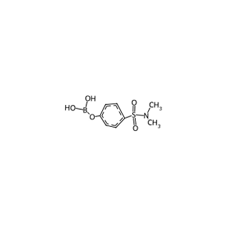 CN(C)S(=O)(=O)c1ccc(OB(O)O)cc1